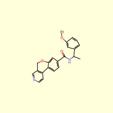 CCOc1cccc(C(C)NC(=O)c2ccc3c(c2)OCc2cnccc2-3)c1